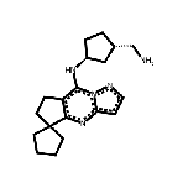 NC[C@H]1CC[C@H](Nc2c3c(nc4ccnn24)C2(CCCC2)CC3)C1